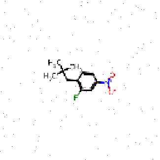 CC(C)(C)Cc1ccc([N+](=O)[O-])cc1F